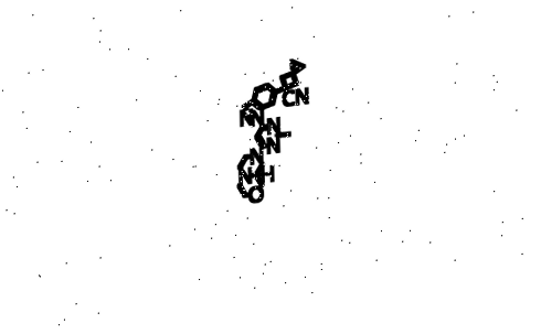 Cc1nc(N2CCN3CCOC[C@@H]3C2)cc(-n2ncc3ccc(C4(C#N)CC5(CC5)C4)cc32)n1